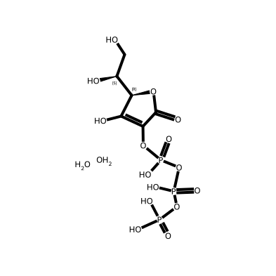 O.O.O=C1O[C@H]([C@@H](O)CO)C(O)=C1OP(=O)(O)OP(=O)(O)OP(=O)(O)O